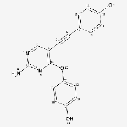 Nc1ncc(C#Cc2ccc(Cl)cc2)c(Oc2ccc(O)cc2)n1